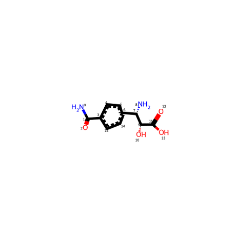 NC(=O)c1ccc([C@H](N)[C@@H](O)C(=O)O)cc1